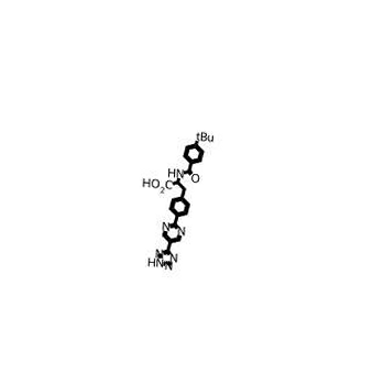 CC(C)(C)c1ccc(C(=O)NC(Cc2ccc(-c3ncc(-c4nn[nH]n4)cn3)cc2)C(=O)O)cc1